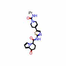 CC(C)NC(=O)N1CC=C(c2cnc(NC(=O)C3CCC(=O)c4cccn43)s2)CC1